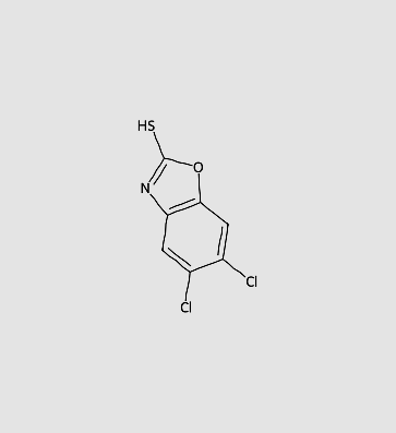 Sc1nc2cc(Cl)c(Cl)cc2o1